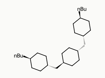 CCCC[C@H]1CC[C@H](C[C@H]2CC[C@H](C[C@H]3CC[C@H](CCCC)CC3)CC2)CC1